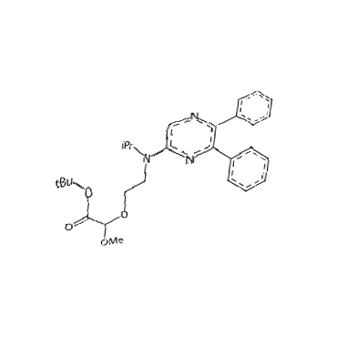 COC(OCCN(c1cnc(-c2ccccc2)c(-c2ccccc2)n1)C(C)C)C(=O)OC(C)(C)C